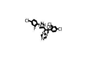 CC(c1cn(-c2ccc(Cl)cc2F)nn1)C(O)(Cn1cncn1)c1ccc(Cl)cc1Cl